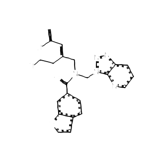 C=C(Cl)/C=C(\CCCl)CN(Cn1nnc2cccnc21)C(=O)c1ccc2ccoc2c1